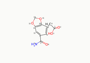 CC(=O)O.NC(=O)c1ccc2c(c1)OCO2